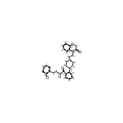 O=C(NCCc1ccccc1Cl)c1ccccc1C1CCN(CCN2C(=O)COc3ccccc32)CC1